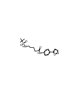 CC(C)(C)S(=O)(=O)NCCCCC(=O)Nc1ccc(-c2ccno2)cc1